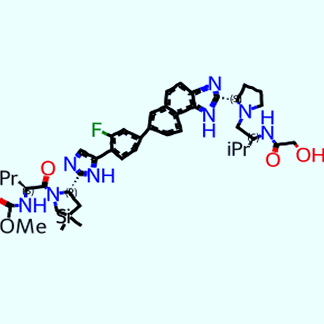 COC(=O)N[C@H](C(=O)N1C[Si](C)(C)C[C@H]1c1ncc(-c2ccc(-c3ccc4c(ccc5nc([C@@H]6CCCN6C[C@@H](NC(=O)CO)C(C)C)[nH]c54)c3)cc2F)[nH]1)C(C)C